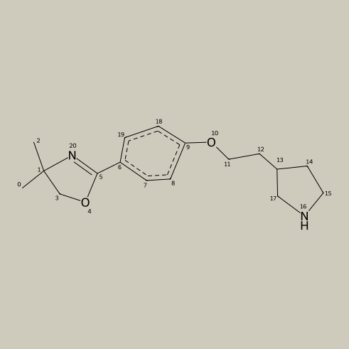 CC1(C)COC(c2ccc(OCCC3CCNC3)cc2)=N1